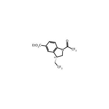 CCOC(=O)c1ccc2c(c1)[C@@H](CC(F)(F)F)CN2C(=O)C(F)(F)F